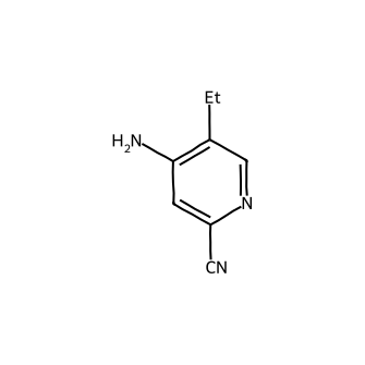 CCc1cnc(C#N)cc1N